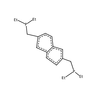 CCP(CC)Cc1ccc2cc(CP(CC)CC)ccc2c1